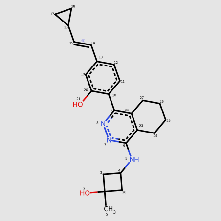 CC1(O)CC(Nc2nnc(-c3ccc(/C=C/C4CC4)cc3O)c3c2CCCC3)C1